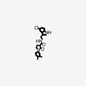 Cc1ccc(N2CCC(C(=O)NCCc3c[nH]c4ccc(Cl)cc34)C2=O)cc1C